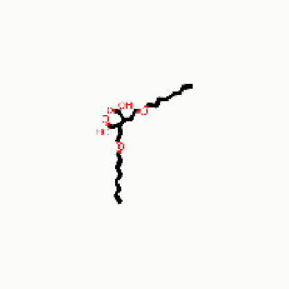 C=CCCCC=CCOCC/C(C(=O)O)=C(\CCOCC=CCCCC=C)C(=O)O